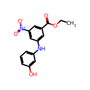 CCOC(=O)c1cc(Nc2cccc(O)c2)cc([N+](=O)[O-])c1